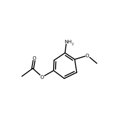 COc1ccc(OC(C)=O)cc1N